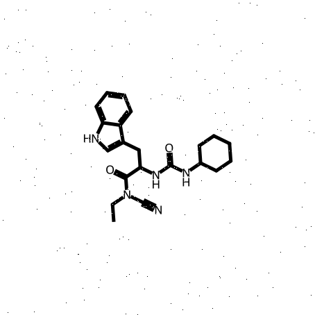 CCN(C#N)C(=O)C(Cc1c[nH]c2ccccc12)NC(=O)NC1CCCCC1